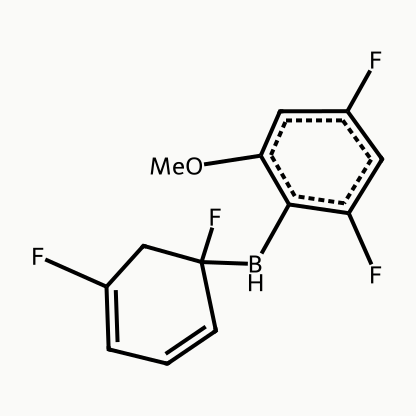 COc1cc(F)cc(F)c1BC1(F)C=CC=C(F)C1